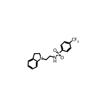 O=S(=O)(NCCN1CCc2ccccc21)c1ccc(C(F)(F)F)cc1